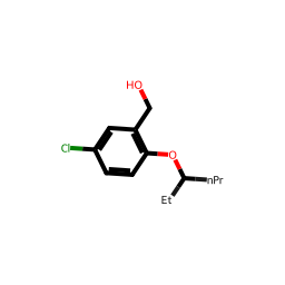 CCCC(CC)Oc1ccc(Cl)cc1CO